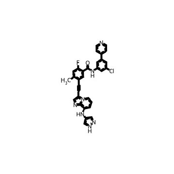 Cc1cc(F)c(C(=O)Nc2cc(Cl)cc(-c3ccncc3)c2)cc1C#Cc1cnc2c(Nc3cn[nH]c3)cccn12